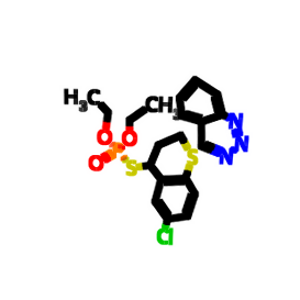 CCOP(=O)(OCC)SC1CCSc2ccc(Cl)cc21.c1ccc2nnncc2c1